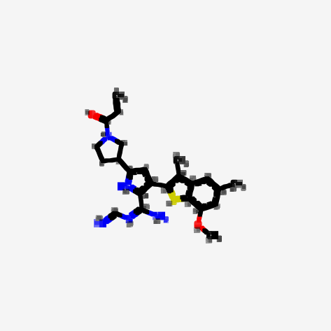 C=CC(=O)N1CCC(c2cc(-c3sc4c(OC)cc(C)cc4c3C)c(/C(N)=N\C=N)[nH]2)C1